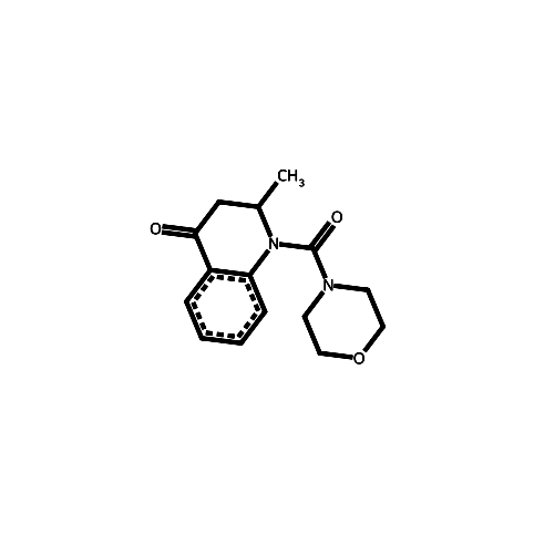 CC1CC(=O)c2ccccc2N1C(=O)N1CCOCC1